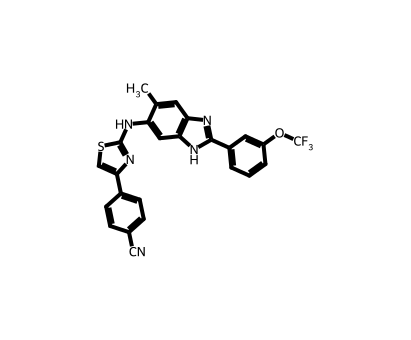 Cc1cc2nc(-c3cccc(OC(F)(F)F)c3)[nH]c2cc1Nc1nc(-c2ccc(C#N)cc2)cs1